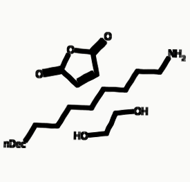 CCCCCCCCCCCCCCCCCCN.O=C1C=CC(=O)O1.OCCO